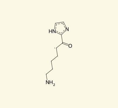 NCCCC[CH]C(=O)c1ncc[nH]1